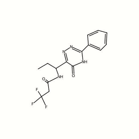 CCC(NC(=O)CC(F)(F)F)c1nnc(-c2ccccc2)[nH]c1=O